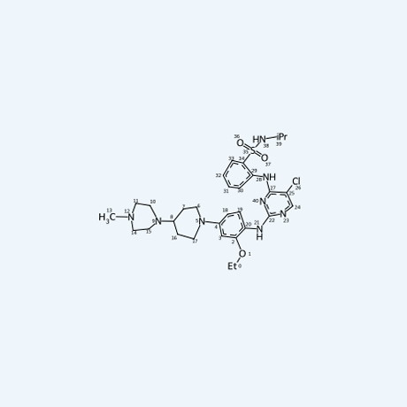 CCOc1cc(N2CCC(N3CCN(C)CC3)CC2)ccc1Nc1ncc(Cl)c(Nc2ccccc2S(=O)(=O)NC(C)C)n1